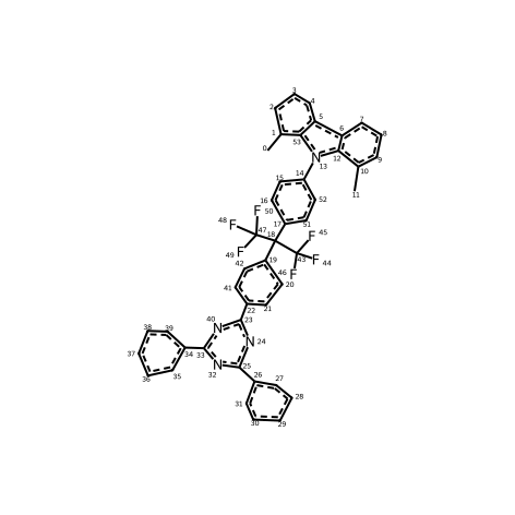 Cc1cccc2c3cccc(C)c3n(-c3ccc(C(c4ccc(-c5nc(-c6ccccc6)nc(-c6ccccc6)n5)cc4)(C(F)(F)F)C(F)(F)F)cc3)c12